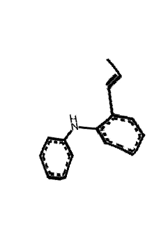 C/C=C/c1ccccc1Nc1ccccc1